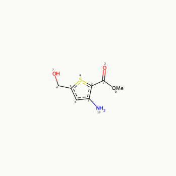 COC(=O)c1sc(CO)cc1N